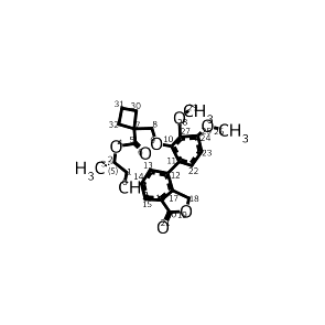 CC[C@H](C)OC(=O)C1(COc2c(-c3cccc4c3COC4=O)ccc(OC)c2OC)CCC1